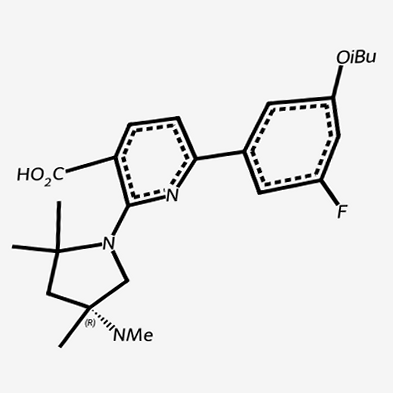 CN[C@@]1(C)CN(c2nc(-c3cc(F)cc(OCC(C)C)c3)ccc2C(=O)O)C(C)(C)C1